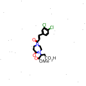 COC(=O)C(CC(=O)O)N1CCN(C(=O)/C=C/c2ccc(Cl)c(Cl)c2)CCC1=O